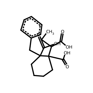 CCC(C(=O)O)C1(C(=O)O)CCCCC1(Cc1ccccc1)C(=O)O